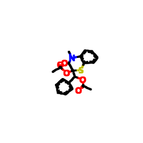 CC(=O)OC(c1ccccc1)C1(OC(C)=O)Sc2ccccc2N(C)C1=O